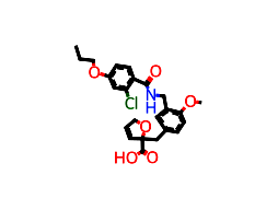 CCCOc1ccc(C(=O)NCc2cc(CC3(C(=O)O)C=CCO3)ccc2OC)c(Cl)c1